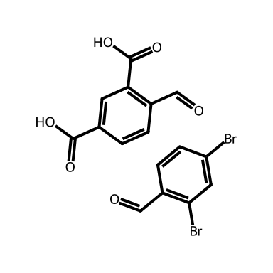 O=Cc1ccc(Br)cc1Br.O=Cc1ccc(C(=O)O)cc1C(=O)O